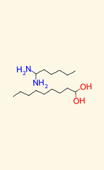 CCCCCC(N)N.CCCCCCCCC(O)O